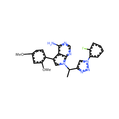 COc1ccc(-c2cn(C(C)c3cn(-c4ccccc4F)nn3)c3ncnc(N)c23)c(OC)c1